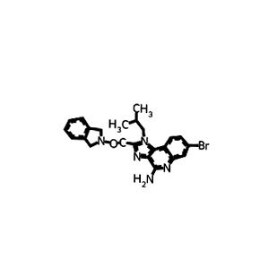 CC(C)Cn1c(CON2Cc3ccccc3C2)nc2c(N)nc3cc(Br)ccc3c21